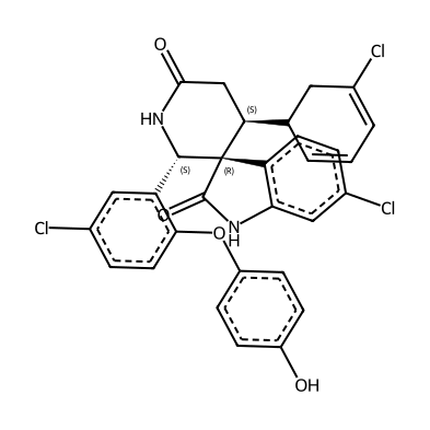 O=C1C[C@@H](C2C=CC=C(Cl)C2)[C@]2(C(=O)Nc3cc(Cl)ccc32)[C@H](c2cc(Cl)ccc2Oc2ccc(O)cc2)N1